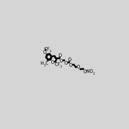 Cc1cc(OC(F)(F)F)cc2c1O[C@H](C(F)(F)F)C(C(=O)OCOC(=O)OCCOCCO[N+](=O)[O-])=C2